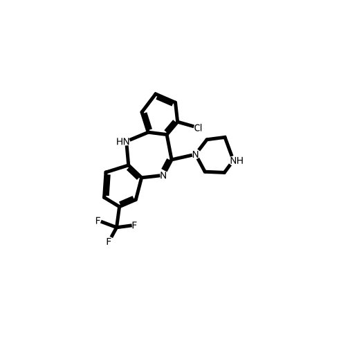 FC(F)(F)c1ccc2c(c1)N=C(N1CCNCC1)c1c(Cl)cccc1N2